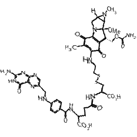 CO[C@]12C3[C@H](CN1C1=C(C(=O)C(NCCSSCC(NC(=O)CCC(NC(=O)c4ccc(NCc5cnc6nc(N)[nH]c(=O)c6n5)cc4)C(=O)O)C(=O)O)=C(C)C1=O)[C@H]2COC(N)=O)N3C